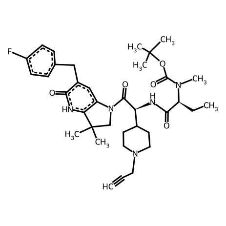 C#CCN1CCC([C@H](NC(=O)[C@H](CC)N(C)C(=O)OC(C)(C)C)C(=O)N2CC(C)(C)c3[nH]c(=O)c(Cc4ccc(F)cc4)cc32)CC1